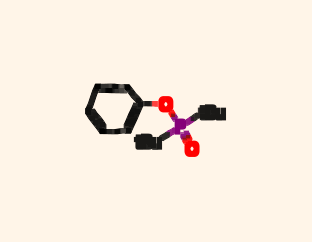 CC(C)(C)P(=O)(Oc1ccccc1)C(C)(C)C